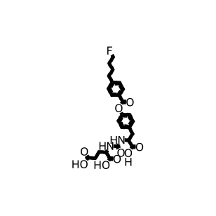 O=C(O)CCC(NC(=O)NC(Cc1ccc(OC(=O)c2ccc(CCCCF)cc2)cc1)C(=O)O)C(=O)O